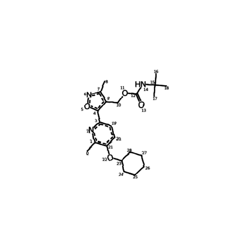 Cc1nc(-c2onc(C)c2COC(=O)NC(C)(C)C)ccc1OC1CCCCC1